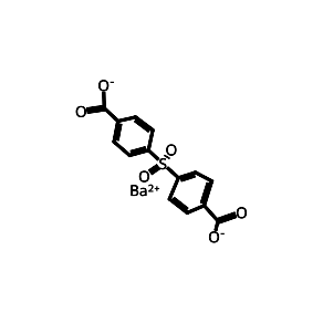 O=C([O-])c1ccc(S(=O)(=O)c2ccc(C(=O)[O-])cc2)cc1.[Ba+2]